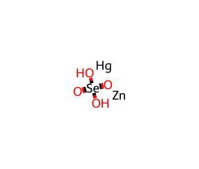 O=[Se](=O)(O)O.[Hg].[Zn]